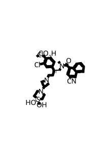 CC(=O)O.CN(C[C@@H](CCN1CC(N2CCS(O)(O)CC2)C1)c1ccc(Cl)c(Cl)c1)C(=O)c1cc(C#N)cc2ccccc12